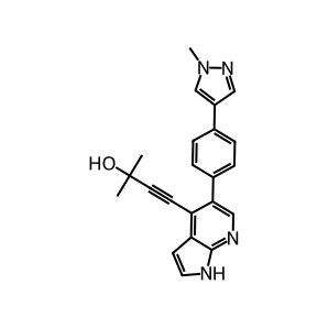 Cn1cc(-c2ccc(-c3cnc4[nH]ccc4c3C#CC(C)(C)O)cc2)cn1